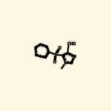 Cn1cnc(C=O)c1S(=O)(=O)c1ccccc1